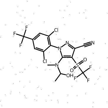 CC(O)N(C)c1c(S(=O)(=O)C(F)(F)F)c(C#N)nn1-c1c(Cl)cc(C(F)(F)F)cc1Cl